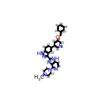 CN1CCN(c2nccc3[nH]c(-c4n[nH]c5ccc(-c6cncc(OCc7ccccc7)c6)cc45)nc23)CC1